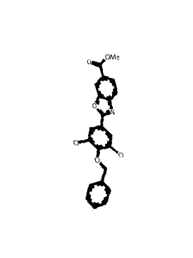 COC(=O)c1ccc2nc(-c3cc(Cl)c(OCc4ccccc4)c(Cl)c3)oc2c1